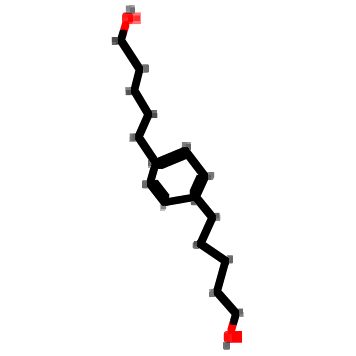 OCCCCCc1ccc(CCCCCO)cc1